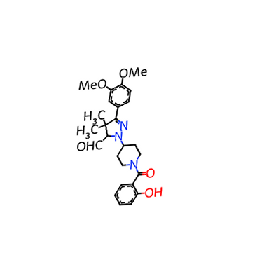 COc1ccc(C2=NN(C3CCN(C(=O)c4ccccc4O)CC3)C(C=O)C2(C)C)cc1OC